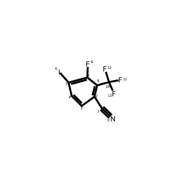 N#Cc1ccc(I)c(F)c1C(F)(F)F